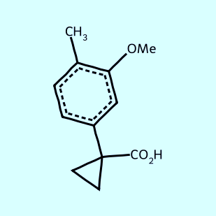 COc1cc(C2(C(=O)O)CC2)ccc1C